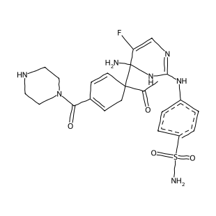 CC(=O)C1(C2(N)NC(Nc3ccc(S(N)(=O)=O)cc3)=NC=C2F)C=CC(C(=O)N2CCNCC2)=CC1